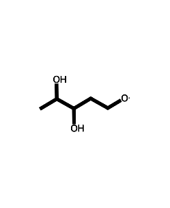 CC(O)C(O)CC[O]